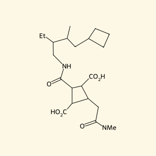 CCC(CNC(=O)C1C(C(=O)O)C(CC(=O)NC)C1C(=O)O)C(C)CC1CCC1